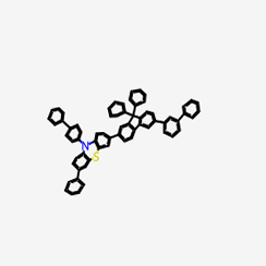 c1ccc(-c2ccc(N3c4ccc(-c5ccccc5)cc4Sc4cc(-c5ccc6c(c5)C(c5ccccc5)(c5ccccc5)c5ccc(-c7cccc(-c8ccccc8)c7)cc5-6)ccc43)cc2)cc1